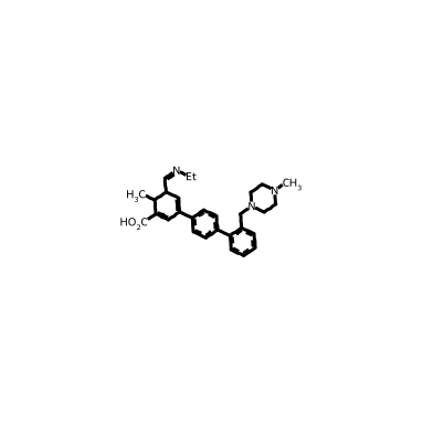 CC/N=C\C1C=C(c2ccc(-c3ccccc3CN3CCN(C)CC3)cc2)C=C(C(=O)O)C1C